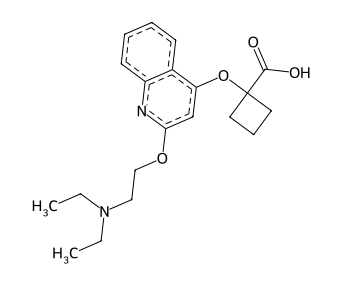 CCN(CC)CCOc1cc(OC2(C(=O)O)CCC2)c2ccccc2n1